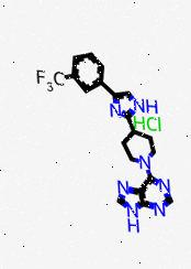 Cl.FC(F)(F)c1cccc(-c2c[nH]c(C3CCN(c4ncnc5[nH]cnc45)CC3)n2)c1